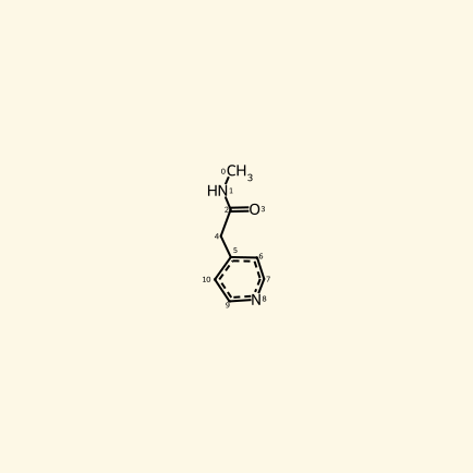 CNC(=O)Cc1ccncc1